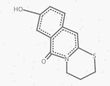 O=c1c2cc(O)ccc2cc2n1CCCS2